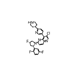 Fc1ccc(F)c([C@H]2C[C@H](F)CN2c2ccc3ncc(Cl)c(-c4ccc(C5CCNCC5)nc4)c3n2)c1